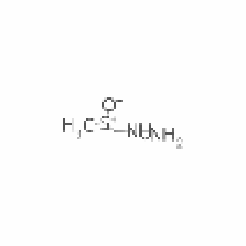 C[S+]([O-])CNCN